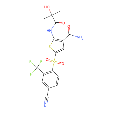 CC(C)(O)C(=O)Nc1sc(S(=O)(=O)c2ccc(C#N)cc2C(F)(F)F)cc1C(N)=O